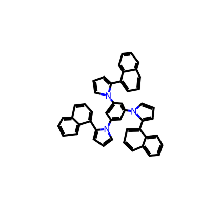 c1ccc2c(-c3cccn3-c3cc(-n4cccc4-c4cccc5ccccc45)cc(-n4cccc4-c4cccc5ccccc45)c3)cccc2c1